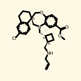 C=CCNC[C@@H]1CC[C@H]1CN1C[C@@]2(CCCc3cc(Cl)ccc32)COc2ccc(C(=O)OC)cc21